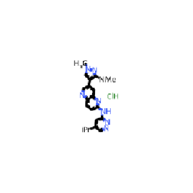 CNc1nn(C)cc1-c1cnc2ccc(Nc3cc(C(C)C)cnn3)nc2c1.Cl